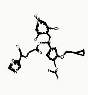 O=C(COC(=O)c1cncs1)O[C@@H](Cc1c(Cl)c[n+]([O-])cc1Cl)c1ccc(OC(F)F)c(OCC2CC2)c1